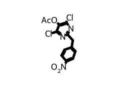 CC(=O)Oc1c(Cl)nc(Cc2ccc([N+](=O)[O-])cc2)nc1Cl